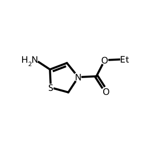 CCOC(=O)N1C=C(N)SC1